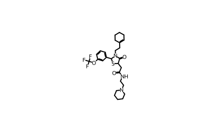 O=C(CC1SC(c2cccc(OC(F)(F)F)c2)N(CCC2=CCCCC2)C1=O)NCCN1CCCCC1